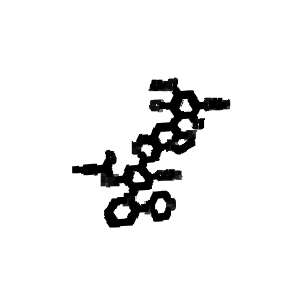 CC#CC(=O)Nc1cc(-c2cc3c(cn2)cc(-c2c(Cl)c(OC)cc(OC)c2Cl)c2nccn23)c(OC)cc1N1CCCCC1N1CCOCC1